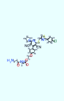 C[C@H](NC(=O)CCN)C(=O)OCCOc1ccc(-c2c(C#N)c(SCc3csc(-c4ccc(Cl)cc4)n3)nc(N3CCCC3)c2C#N)cc1